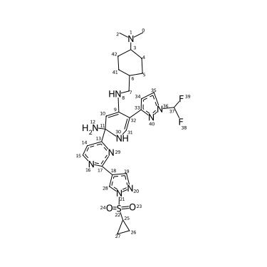 CN(C)C1CCC(CNC2=CC(N)(c3ccnc(-c4cnn(S(=O)(=O)C5CC5)c4)n3)NC=C2c2ccn(C(F)F)n2)CC1